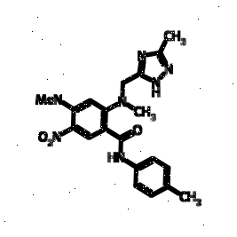 CNc1cc(N(C)Cc2nc(C)n[nH]2)c(C(=O)Nc2ccc(C)cc2)cc1[N+](=O)[O-]